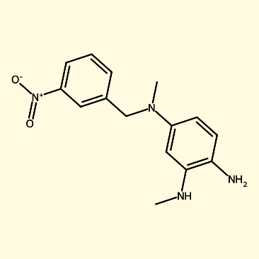 CNc1cc(N(C)Cc2cccc([N+](=O)[O-])c2)ccc1N